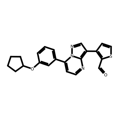 O=Cc1sccc1-c1cnn2c(-c3cccc(OC4CCCC4)c3)ccnc12